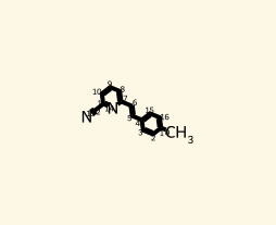 Cc1ccc(C=Cc2cccc(C#N)n2)cc1